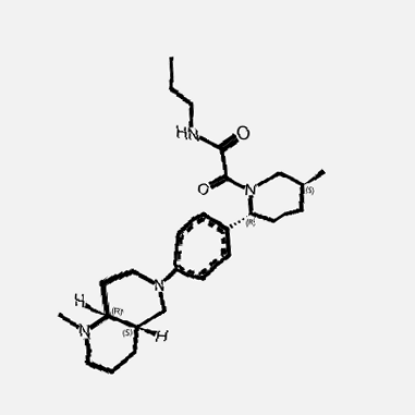 CCCNC(=O)C(=O)N1C[C@@H](C)CC[C@@H]1c1ccc(N2CC[C@@H]3[C@@H](CCCN3C)C2)cc1